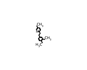 CCc1ccc(CCc2ccc(CC)c(CC)c2)nc1